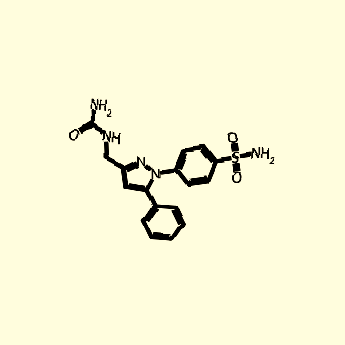 NC(=O)NCc1cc(-c2ccccc2)n(-c2ccc(S(N)(=O)=O)cc2)n1